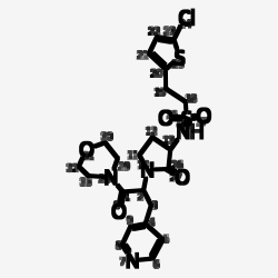 O=C(C(Cc1ccncc1)N1CCC(NS(=O)(=O)CCc2ccc(Cl)s2)C1=O)N1CCOCC1